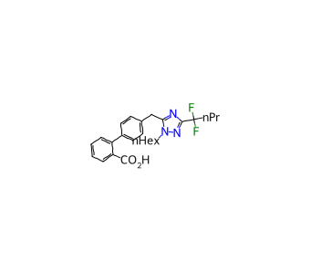 CCCCCCn1nc(C(F)(F)CCC)nc1Cc1ccc(-c2ccccc2C(=O)O)cc1